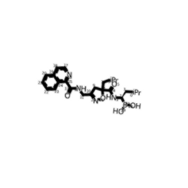 CC(C)C[C@H](NC(=O)C1(CC(C)C)CC(CNC(=O)c2nccc3ccccc23)=NO1)B(O)O